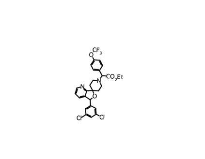 CCOC(=O)C(c1ccc(OC(F)(F)F)cc1)N1CCC2(CC1)OC(c1cc(Cl)cc(Cl)c1)c1cccnc12